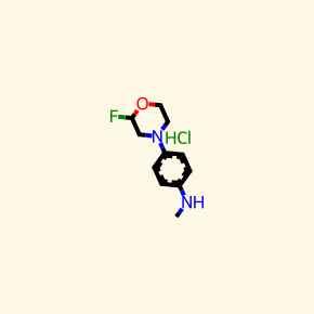 CNc1ccc(N2CCOC(F)C2)cc1.Cl